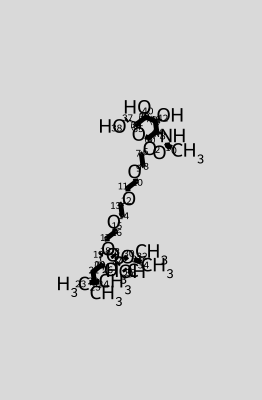 CC(=O)N[C@H]1[C@H](OCCOCCOCCOCCOC[C@@H](CC(C)(C)C)OP(=O)(O)OC(C)(C)C)O[C@H](CO)[C@H](O)[C@@H]1O